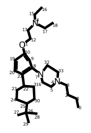 CCCCN1CCN(c2cc(OCCN(CC)CC)ccc2C2CCC(C(C)(C)C)CC2)CC1